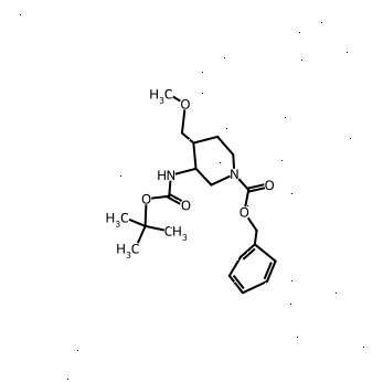 COCC1CCN(C(=O)OCc2ccccc2)CC1NC(=O)OC(C)(C)C